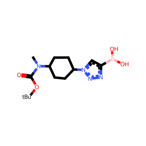 CN(C(=O)OC(C)(C)C)C1CCC(n2cc(B(O)O)nn2)CC1